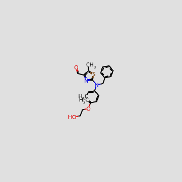 C=C(/C=C\C(=C/C)N(Cc1ccccc1)c1nc(C=O)c(C)s1)OCCO